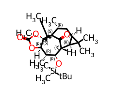 CC1=C[C@]23C(=O)[C@@H]([C@H](O[Si](C)(C)C(C)(C)C)[C@H](C)[C@H]4OC(=O)O[C@]42[C@H]1C)[C@H]1[C@@H](C[C@H]3C)C1(C)C